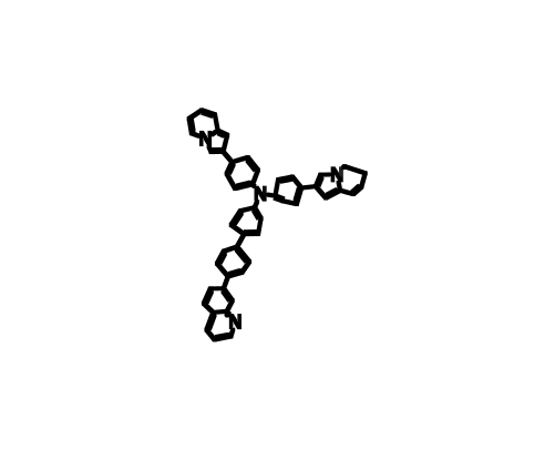 C1=Cc2cc(-c3ccc(N(c4ccc(-c5ccc(-c6ccc7cccnc7c6)cc5)cc4)c4ccc(-c5cc6ccccn6c5)cc4)cc3)cn2CC1